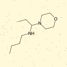 [CH2]CC(NCCCC)N1CCOCC1